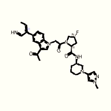 C/C=C(\C=N)c1ccc2c(c1)c(C(C)=O)cn2CC(=O)N1C[C@H](F)C[C@H]1C(=O)NC1CCCN(c2cnn(C)c2)C1